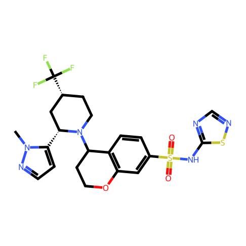 Cn1nccc1[C@@H]1C[C@H](C(F)(F)F)CCN1C1CCOc2cc(S(=O)(=O)Nc3ncns3)ccc21